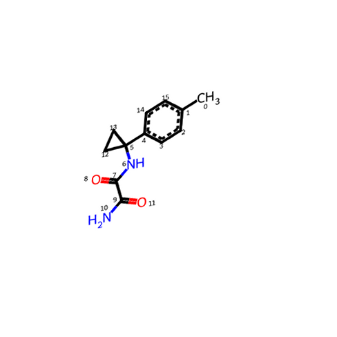 Cc1ccc(C2(NC(=O)C(N)=O)CC2)cc1